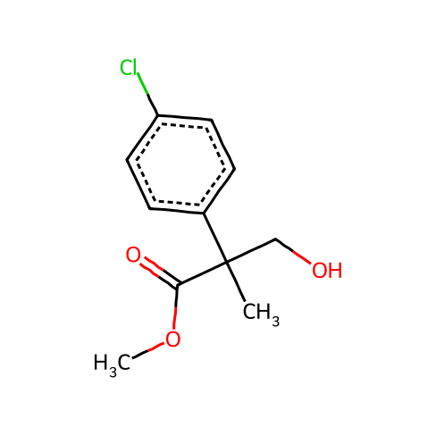 COC(=O)C(C)(CO)c1ccc(Cl)cc1